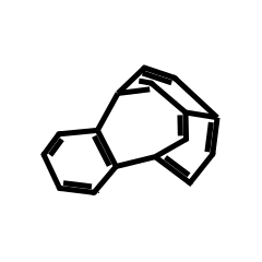 [c]1cccc2c1-c1ccc3ccc-2cc3c1